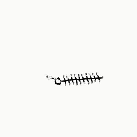 C[n+]1ccn(C(F)(F)C(F)(F)C(F)(F)C(F)(F)C(F)(F)C(F)(F)C(F)(F)C(F)(F)C(F)(F)C(F)(F)F)c1